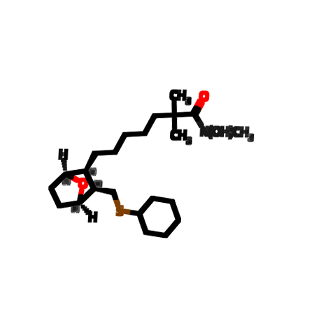 CN(O)C(=O)C(C)(C)CCCCC[C@H]1[C@@H](CSC2CCCCC2)[C@H]2CC[C@@H]1O2